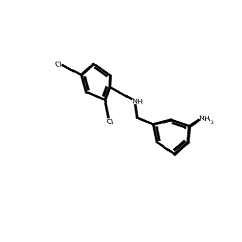 Nc1[c]ccc(CNc2ccc(Cl)cc2Cl)c1